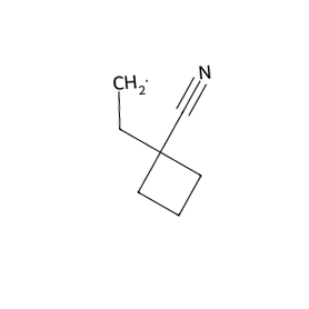 [CH2]CC1(C#N)CCC1